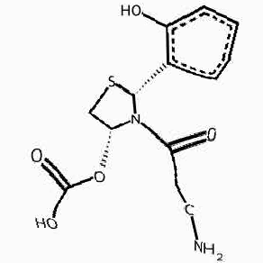 NCCC(=O)N1[C@@H](c2ccccc2O)SC[C@H]1OC(=O)O